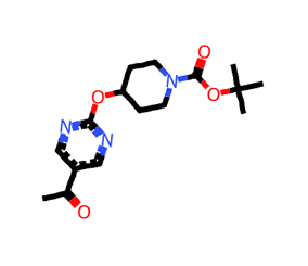 CC(=O)c1cnc(OC2CCN(C(=O)OC(C)(C)C)CC2)nc1